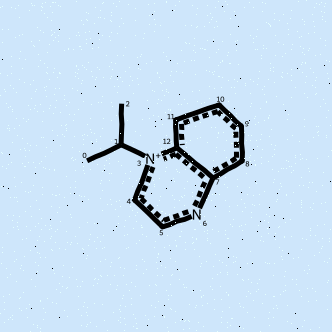 CC(C)[n+]1ccnc2ccccc21